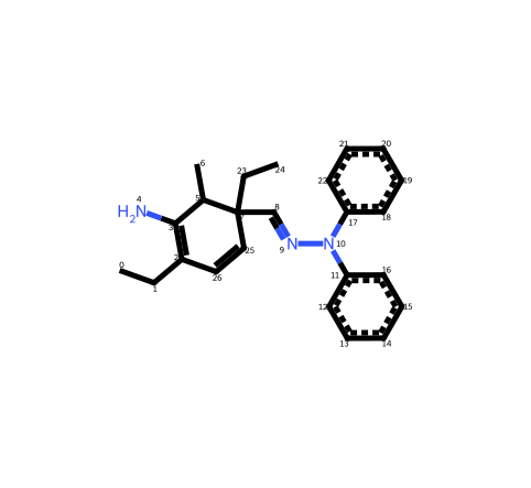 CCC1=C(N)C(C)C(C=NN(c2ccccc2)c2ccccc2)(CC)C=C1